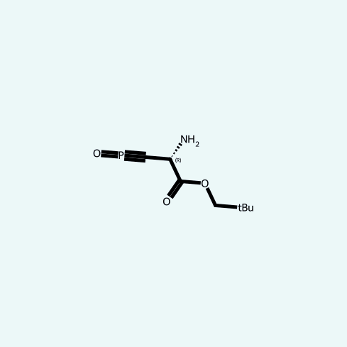 CC(C)(C)COC(=O)[C@@H](N)C#P=O